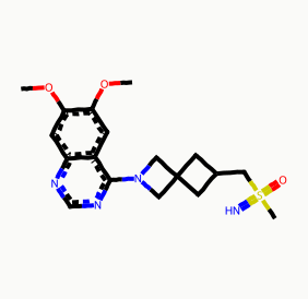 COc1cc2ncnc(N3CC4(CC(CS(C)(=N)=O)C4)C3)c2cc1OC